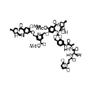 C=C1C[C@H]2C=Nc3cc(OCc4cc(C(=O)OC)cc(COc5cc6c(cc5OC)C(=O)N5CC(=C)C[C@H]5[C@H](O)N6C(=O)OCc5ccc(NC(=O)C(C)NC(=O)C(NC(=O)CCN6C(=O)C=CC6=O)C(C)C)cc5)n4)c(OC)cc3C(=O)N2C1